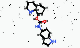 O=C(Nc1ccc2[nH]ccc2c1)Oc1cccc2cccnc12